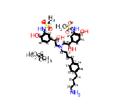 CC(=O)O.CC(=O)O.CS(=O)(=O)Nc1cc(C(O)CN(CCCCc2ccc(CCCCN)cc2)CC(O)c2ccc(O)c(NS(C)(=O)=O)c2)ccc1O